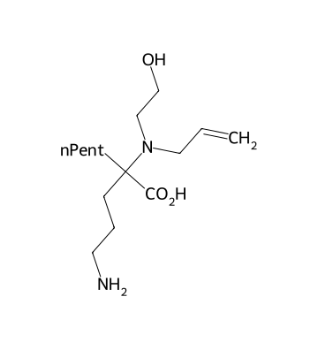 C=CCN(CCO)C(CCCN)(CCCCC)C(=O)O